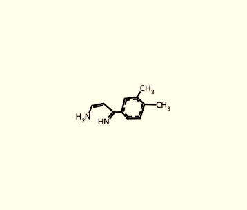 Cc1ccc(C(=N)/C=C\N)cc1C